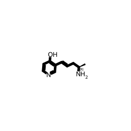 C[C@@H](N)CC=Cc1cnccc1O